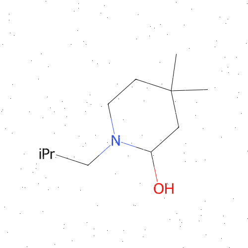 CC(C)CN1CCC(C)(C)CC1O